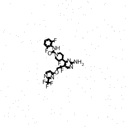 Nc1ncc(C(F)(F)COc2ccnc(C(F)(F)F)n2)c(C2CCN(C(=O)Nc3c(F)cccc3F)CC2)n1